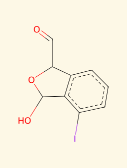 O=CC1OC(O)c2c(I)cccc21